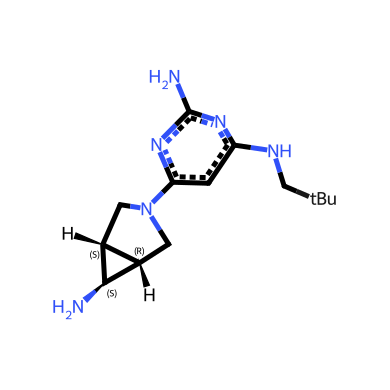 CC(C)(C)CNc1cc(N2C[C@@H]3[C@@H](N)[C@@H]3C2)nc(N)n1